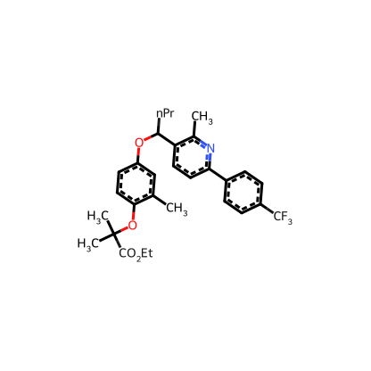 CCCC(Oc1ccc(OC(C)(C)C(=O)OCC)c(C)c1)c1ccc(-c2ccc(C(F)(F)F)cc2)nc1C